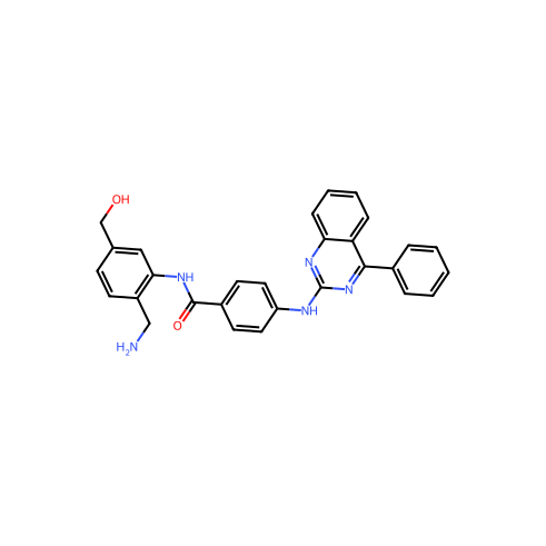 NCc1ccc(CO)cc1NC(=O)c1ccc(Nc2nc(-c3ccccc3)c3ccccc3n2)cc1